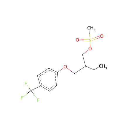 CCC(COc1ccc(C(F)(F)F)cc1)COS(C)(=O)=O